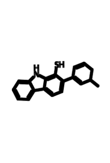 CC1C=C(c2ccc3c([nH]c4ccccc43)c2S)C=CC1